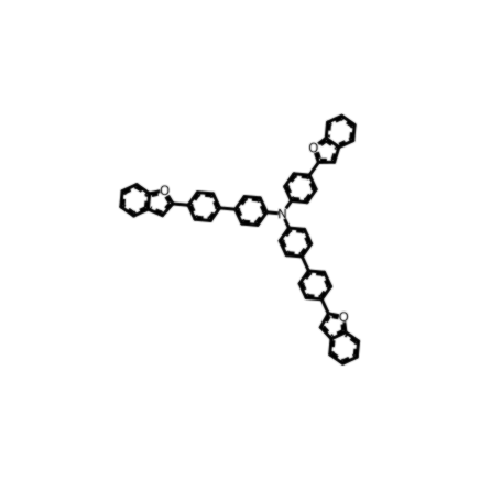 c1ccc2oc(-c3ccc(-c4ccc(N(c5ccc(-c6ccc(-c7cc8ccccc8o7)cc6)cc5)c5ccc(-c6cc7ccccc7o6)cc5)cc4)cc3)cc2c1